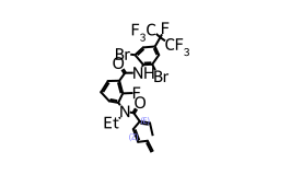 C=C/C=C\C(=C/C)C(=O)N(CC)c1cccc(C(=O)Nc2c(Br)cc(C(F)(C(F)(F)F)C(F)(F)F)cc2Br)c1F